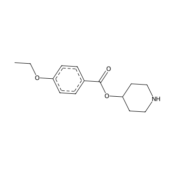 CCOc1ccc(C(=O)OC2CCNCC2)cc1